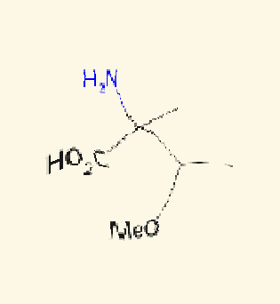 COC(C)C(C)(N)C(=O)O